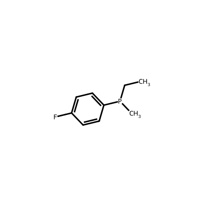 CCP(C)c1ccc(F)cc1